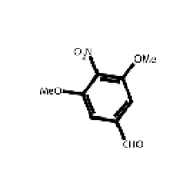 COc1cc(C=O)cc(OC)c1[N+](=O)[O-]